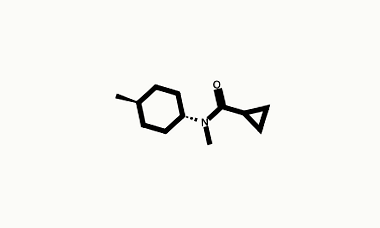 CN(C(=O)C1CC1)[C@H]1CC[C@H](C)CC1